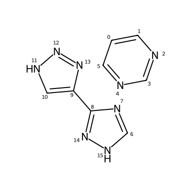 c1cncnc1.c1nc(-c2c[nH]nn2)n[nH]1